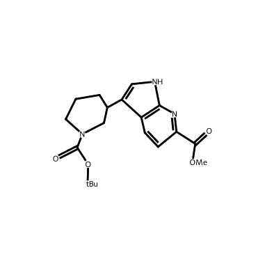 COC(=O)c1ccc2c(C3CCCN(C(=O)OC(C)(C)C)C3)c[nH]c2n1